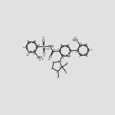 CC1CCN(c2nc(-c3ccccc3O)ccc2C(=O)NS(=O)(=O)c2cccnc2N)C1(C)C